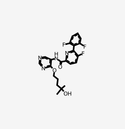 CC(C)(O)CCCOc1ncncc1NC(=O)c1ccc(F)c(-c2c(F)cccc2F)n1